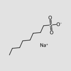 CCCCCCCCS(=O)(=O)[O-].[Na+]